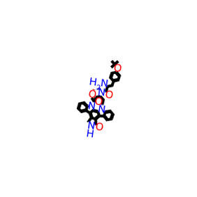 COC1C(N(C)C(=O)C(N)Cc2ccc(OC(C)(C)C)cc2)CC2OC1(C)n1c3ccccc3c3c4c(c5c6ccccc6n2c5c31)C(=O)NC4